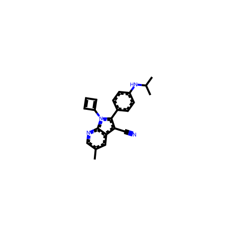 Cc1cnc2c(c1)c(C#N)c(-c1ccc(NC(C)C)cc1)n2C1=CC=C1